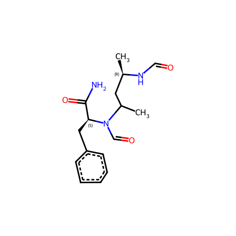 CC(C[C@@H](C)NC=O)N(C=O)[C@@H](Cc1ccccc1)C(N)=O